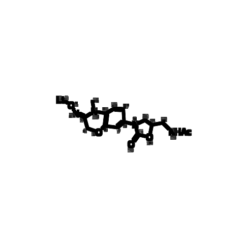 CCON=C1COc2cc(N3CC(CNC(C)=O)OC3=O)ccc2N1C